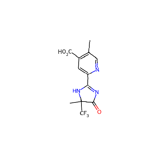 Cc1cnc(C2=NC(=O)C(C)(C(F)(F)F)N2)cc1C(=O)O